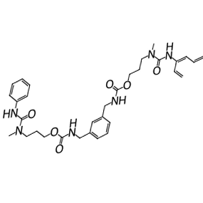 C=C/C=C(\C=C)NC(=O)N(C)CCCOC(=O)NCc1cccc(CNC(=O)OCCCN(C)C(=O)Nc2ccccc2)c1